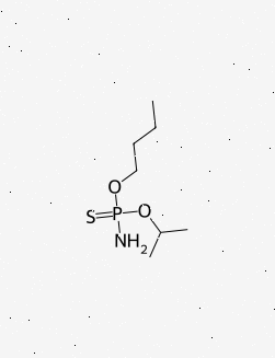 CCCCOP(N)(=S)OC(C)C